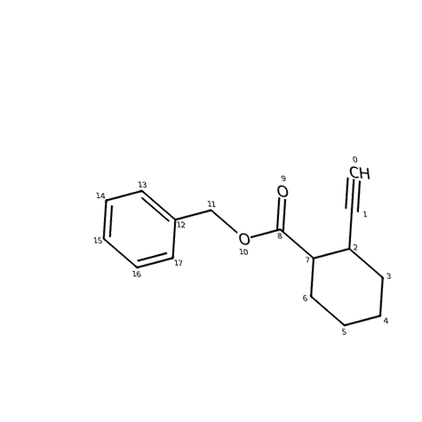 C#CC1CCCCC1C(=O)OCc1ccccc1